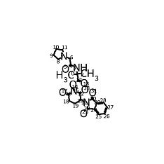 CC(C)(NC(=O)CN1CCCC1)C(=O)ON1C(=O)CC[C@H](N2C(=O)c3ccccc3C2=O)C1=O